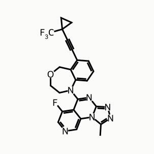 Cc1nnc2nc(N3CCOCc4c(C#CC5(C(F)(F)F)CC5)cccc43)c3c(F)cncc3n12